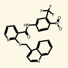 O=C(Nc1ccc([N+](=O)[O-])c(C(F)(F)F)c1)c1cccnc1SCc1ccnc2ccccc12